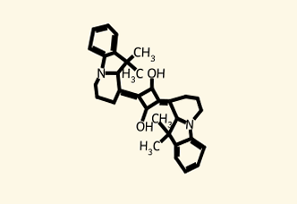 CC1(C)c2ccccc2N2CCCC(=C3C(O)C(=C4CCCN5c6ccccc6C(C)(C)C45)C3O)C21